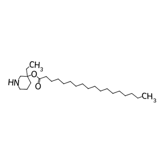 CCCCCCCCCCCCCCCCCC(=O)OC1(CC)CCCNC1